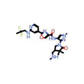 CNCC1CN(c2nn(C)cc2NC(=O)c2coc(-c3ccnc(NCC(C)(F)F)c3)n2)C(=O)C1(C)C